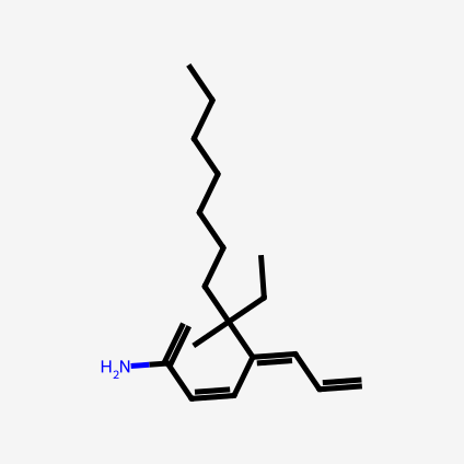 C=C/C=C(\C=C/C(=C)N)C(C)(CC)CCCCCCC